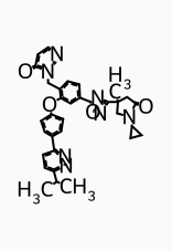 CC(C)c1ccc(-c2ccc(Oc3cc(-c4nc(C5(C)CC(=O)N(C6CC6)C5)no4)ccc3Cn3cnccc3=O)cc2)nn1